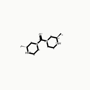 C[C@@H]1CN(C(=O)N2CCN[C@H](C)C2)CCN1